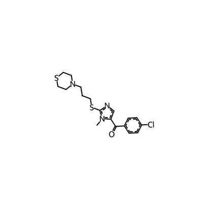 Cn1c(C(=O)c2ccc(Cl)cc2)cnc1SCCCN1CCSCC1